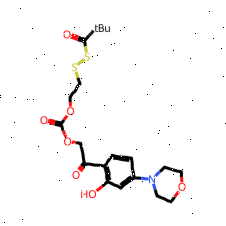 CC(C)(C)C(=O)SSCCOC(=O)OCC(=O)c1ccc(N2CCOCC2)cc1O